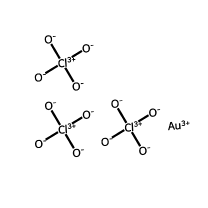 [Au+3].[O-][Cl+3]([O-])([O-])[O-].[O-][Cl+3]([O-])([O-])[O-].[O-][Cl+3]([O-])([O-])[O-]